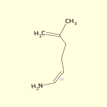 C=C(C)CC/C=C\N